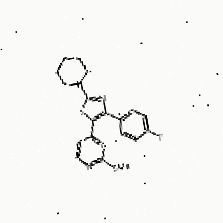 CSc1nccc(-c2sc(N3CCCCC3)nc2-c2ccc(F)cc2)n1